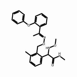 CNC(=O)C(NOC)c1cccc(C)c1CO/N=C(\C)c1ccccc1Oc1ccccc1